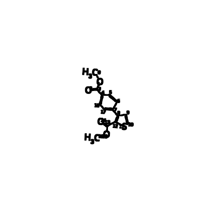 COC(=O)c1ccc(-c2ccsc2C(=O)OC)cc1